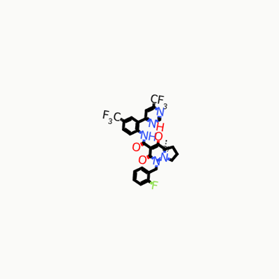 C[C@]12CCCN1N(Cc1ccccc1F)C(=O)C(C(=O)Nc1ccc(C(F)(F)F)cc1-c1cc(C(F)(F)F)ncn1)=C2O